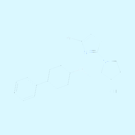 C[C@H]1CCN(c2nc(Br)cs2)[C@H]1COC1CCC(c2ccccc2)CC1